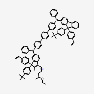 C=Cc1ccc(C2(c3ccc(C(C)(C)C)cc3)C(C)=C(/C=C\CC(C)OCC)c3ccc(N(c4ccccc4)c4ccc(-c5ccc(-c6ccc(N(c7ccccc7)c7ccc8c(c7)C(c7ccc(C=C)cc7)(c7ccc(C(C)(C)C)cc7)c7ccccc7-8)cc6)cc5)cc4)cc32)cc1